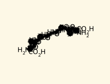 Cc1c(NC(=O)c2cccc(OCC(=O)NCCCNC(=O)COc3cccc(C(=O)Nc4c(C)c(C(=O)c5ccc(N)c(C(=O)O)c5)n5ccccc45)c3)c2)c2ccccn2c1C(=O)c1ccc(N)c(C(=O)O)c1